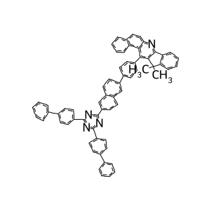 CC1(C)c2ccccc2-c2nc3ccc4ccccc4c3c(-c3ccc(-c4ccc5cc(-c6nc(-c7ccc(-c8ccccc8)cc7)nc(-c7ccc(-c8ccccc8)cc7)n6)ccc5c4)cc3)c21